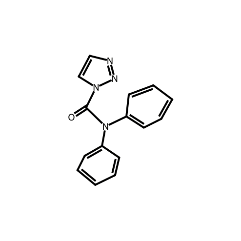 O=C(N(c1ccccc1)c1ccccc1)n1ccnn1